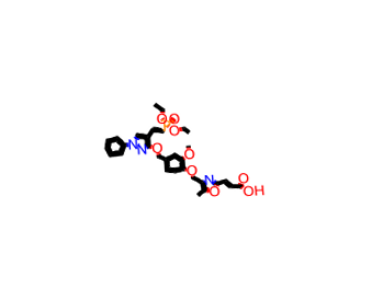 CCOP(=O)(C=Cc1cn(-c2ccccc2)nc1OCc1ccc(OCc2nc(/C=C/C(=O)O)oc2C)c(OC)c1)OCC